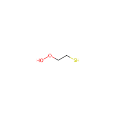 OOCCS